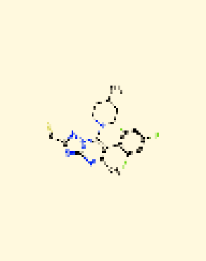 Cc1nc2nc(C=S)nn2c(N2CCC(C)CC2)c1-c1c(F)cc(F)cc1F